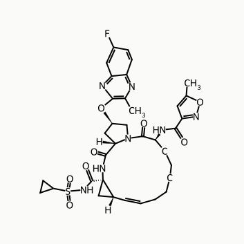 Cc1cc(C(=O)N[C@H]2CCCCC/C=C\[C@@H]3C[C@@]3(C(=O)NS(=O)(=O)C3CC3)NC(=O)[C@@H]3C[C@@H](Oc4nc5cc(F)ccc5nc4C)CN3C2=O)no1